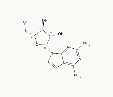 Nc1nc(N)c2ccn([C@@H]3O[C@H](CO)[C@@H](O)[C@@H]3O)c2n1